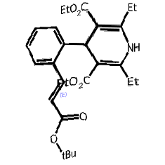 CCOC(=O)C1=C(CC)NC(CC)=C(C(=O)OCC)C1c1ccccc1/C=C/C(=O)OC(C)(C)C